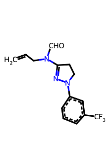 C=CCN(C=O)C1=NN(c2cccc(C(F)(F)F)c2)CC1